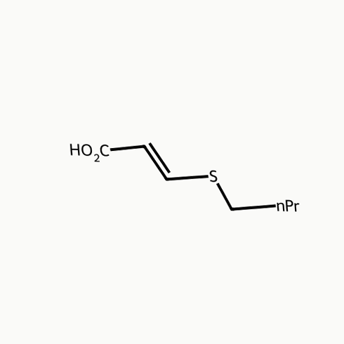 CCCCSC=CC(=O)O